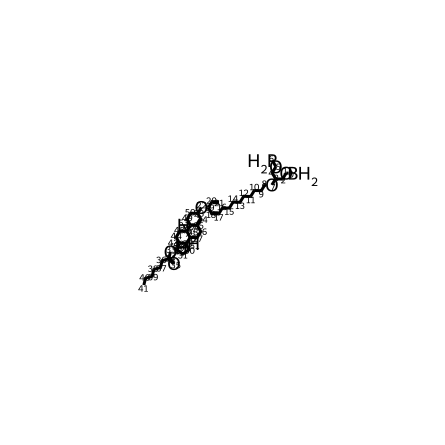 BOCC(COP)OCCCCCCCCC/C=C\C(C=C)OC1C=C2CC[C@H]3[C@@H]4CC[C@H](OC(=O)CCCCCC)[C@@]4(C)CC[C@@H]3[C@@]2(C)CC1